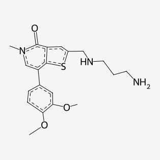 COc1ccc(-c2cn(C)c(=O)c3cc(CNCCCN)sc23)cc1OC